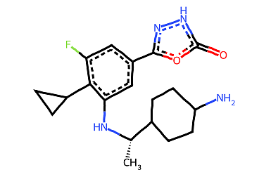 C[C@H](Nc1cc(-c2n[nH]c(=O)o2)cc(F)c1C1CC1)C1CCC(N)CC1